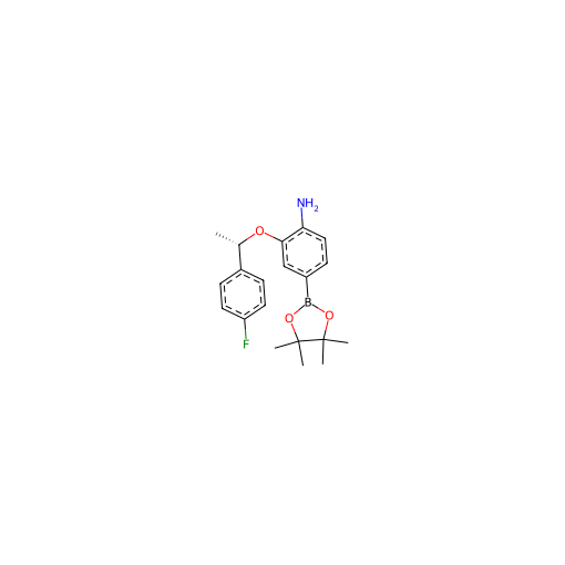 C[C@H](Oc1cc(B2OC(C)(C)C(C)(C)O2)ccc1N)c1ccc(F)cc1